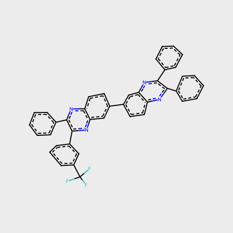 FC(F)(F)c1cccc(-c2nc3cc(-c4ccc5nc(-c6ccccc6)c(-c6ccccc6)nc5c4)ccc3nc2-c2ccccc2)c1